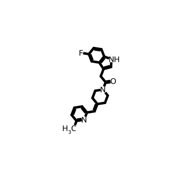 Cc1cccc(C=C2CCN(C(=O)Cc3c[nH]c4ccc(F)cc34)CC2)n1